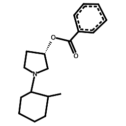 CC1CCCCC1N1CC[C@H](OC(=O)c2ccccc2)C1